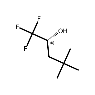 CC(C)(C)C[C@@H](O)C(F)(F)F